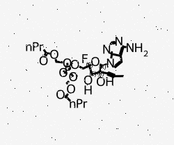 CC#C[C@]1(O)[C@H](n2ccc3c(N)ncnc32)O[C@](F)(COP(=O)(OCOC(=O)CCC)OCOC(=O)CCC)[C@H]1O